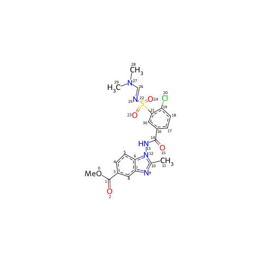 COC(=O)c1ccc2c(c1)nc(C)n2NC(=O)c1ccc(Cl)c(S(=O)(=O)N=CN(C)C)c1